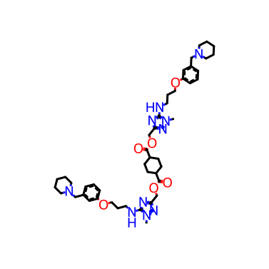 Cn1nc(COC(=O)C2CCC(C(=O)OCc3nc(NCCCOc4cccc(CN5CCCCC5)c4)n(C)n3)CC2)nc1NCCCOc1cccc(CN2CCCCC2)c1